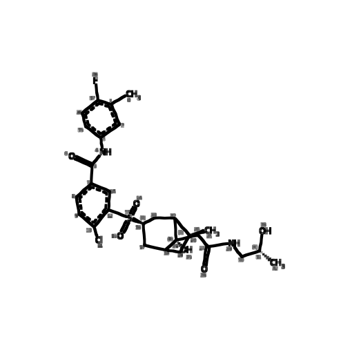 Cc1cc(NC(=O)c2ccc(Cl)c(S(=O)(=O)[C@@H]3CC4C[C@H](C)C(C3)[C@@]4(O)CC(=O)NC[C@@H](C)O)c2)ccc1F